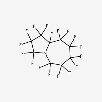 FC1(F)N2C(F)(F)C(F)(F)C(F)(F)C2(F)C(F)(F)C(F)(F)C(F)(F)C1(F)F